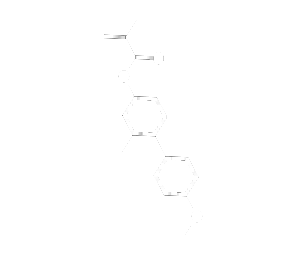 C=C(C)C(=O)Oc1ccc(-c2ccc(OC)cc2)c(C)c1